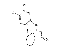 CC1(C(CC(=O)O)Nc2nc(Cl)c(C#N)cc2F)CCCC1